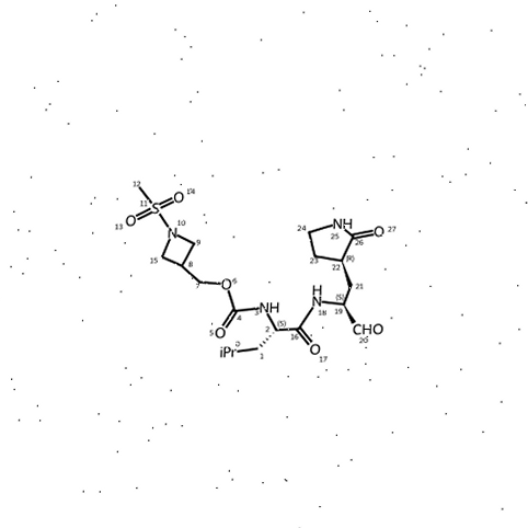 CC(C)C[C@H](NC(=O)OCC1CN(S(C)(=O)=O)C1)C(=O)N[C@H](C=O)C[C@H]1CCNC1=O